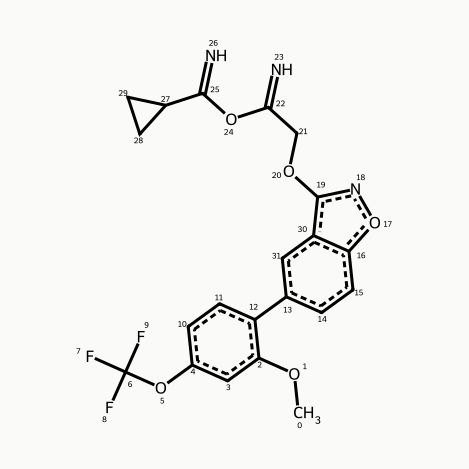 COc1cc(OC(F)(F)F)ccc1-c1ccc2onc(OCC(=N)OC(=N)C3CC3)c2c1